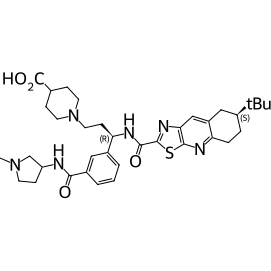 CN1CCC(NC(=O)c2cccc([C@@H](CCN3CCC(C(=O)O)CC3)NC(=O)c3nc4cc5c(nc4s3)CC[C@H](C(C)(C)C)C5)c2)C1